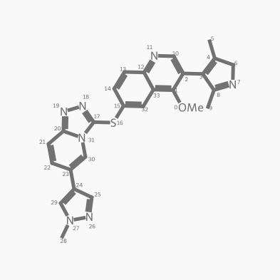 COc1c(C2=C(C)CN=C2C)cnc2ccc(Sc3nnc4ccc(-c5cnn(C)c5)cn34)cc12